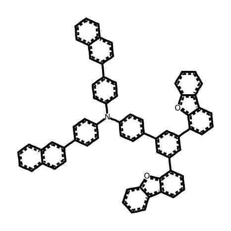 c1ccc2cc(-c3ccc(N(c4ccc(-c5cc(-c6cccc7c6oc6ccccc67)cc(-c6cccc7c6oc6ccccc67)c5)cc4)c4ccc(-c5ccc6ccccc6c5)cc4)cc3)ccc2c1